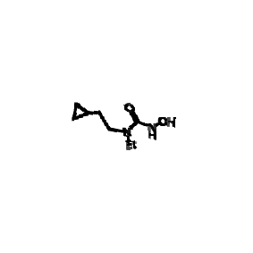 CCN(CCC1CC1)C(=O)NO